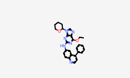 CCOc1nc(Nc2ccc3nccc(-c4ccccc4)c3c2)nc2c1ncn2C1CCCCO1